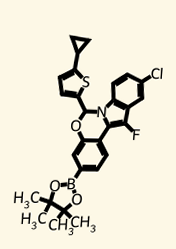 CC1(C)OB(c2ccc3c(c2)OC(c2ccc(C4CC4)s2)n2c-3c(F)c3cc(Cl)ccc32)OC1(C)C